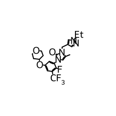 CCn1cc(Cn2c(C)cn(-c3cc(OC4CCOCC4)cc(C(F)(F)F)c3F)c2=O)cn1